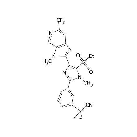 CCS(=O)(=O)c1c(-c2nc3cc(C(F)(F)F)ncc3n2C)nc(-c2cccc(C3(C#N)CC3)c2)n1C